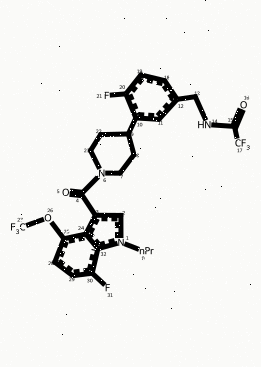 CCCn1cc(C(=O)N2CCC(c3cc(CNC(=O)C(F)(F)F)ccc3F)CC2)c2c(OC(F)(F)F)ccc(F)c21